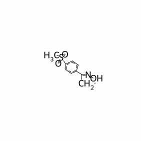 [CH2]C(=NO)c1ccc(S(C)(=O)=O)cc1